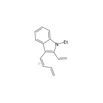 C=C/C=C\c1c(C=C)n(CC)c2ccccc12